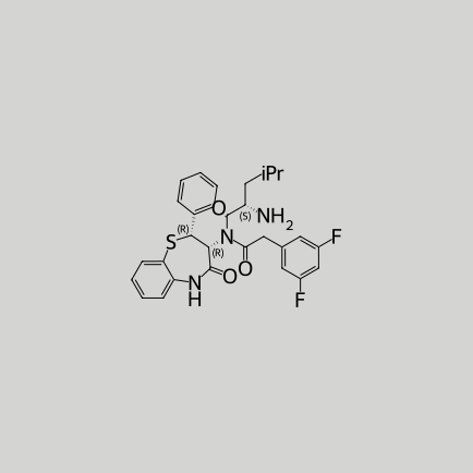 CC(C)C[C@H](N)C(=O)N(C(=O)Cc1cc(F)cc(F)c1)[C@@H]1C(=O)Nc2ccccc2S[C@@H]1c1ccccc1